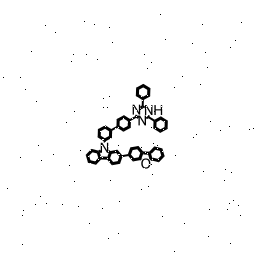 c1ccc(C2=NC(c3ccc(-c4cccc(-n5c6ccccc6c6ccc(-c7ccc8c(c7)oc7ccccc78)cc65)c4)cc3)=NC(c3ccccc3)N2)cc1